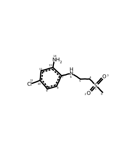 CS(=O)(=O)CCNc1ccc(Cl)cc1N